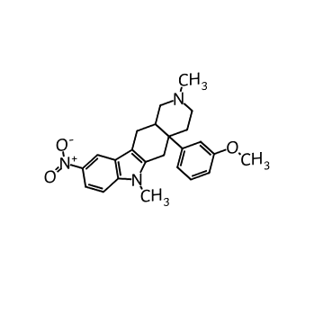 COc1cccc(C23CCN(C)CC2Cc2c(n(C)c4ccc([N+](=O)[O-])cc24)C3)c1